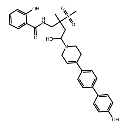 CC(CNC(=O)c1ccccc1O)(CC(O)N1CC=C(c2ccc(-c3ccc(O)cc3)cc2)CC1)S(C)(=O)=O